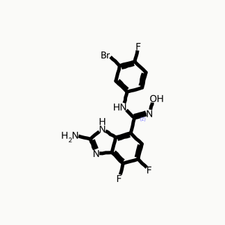 Nc1nc2c(F)c(F)cc(/C(=N/O)Nc3ccc(F)c(Br)c3)c2[nH]1